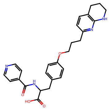 O=C(NC(Cc1ccc(OCCCc2ccc3c(n2)NCCC3)cc1)C(=O)O)c1ccncc1